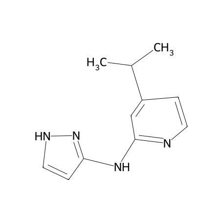 CC(C)c1ccnc(Nc2cc[nH]n2)c1